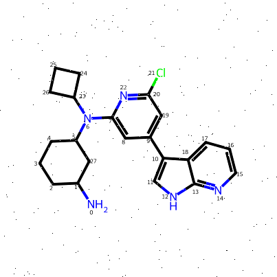 NC1CCCC(N(c2cc(-c3c[nH]c4ncccc34)cc(Cl)n2)C2CCC2)C1